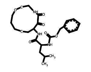 CC(C)CC(NC(=O)OCc1ccccc1)C(=O)NC1CCCCCOCCNC(=O)C1=O